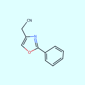 N#CCc1coc(-c2ccccc2)n1